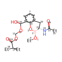 CCOB1Oc2c(cccc2C(O)OCOC(=O)C(CC)CC)C[C@@H]1NC(=O)CC